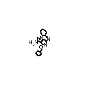 N#CC1CCCCCC1n1nc(N)c2c(OCc3ccccc3)nccc21